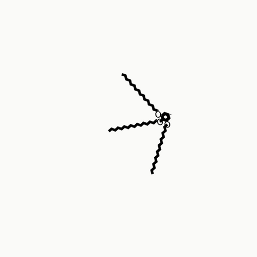 CCCCCCCCCCCCCCCCOc1c[c]cc(OCCCCCCCCCCCCCCCC)c1OCCCCCCCCCCCCCCCC